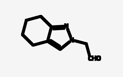 O=CCn1cc2c(n1)CCCC2